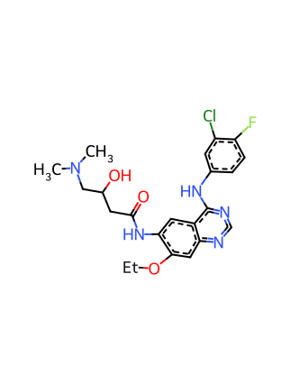 CCOc1cc2ncnc(Nc3ccc(F)c(Cl)c3)c2cc1NC(=O)CC(O)CN(C)C